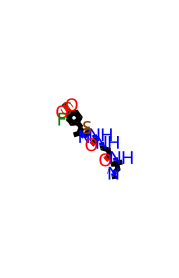 Cc1nc(NC(=O)NCCC(=O)NC(C)(C)CN(C)C)sc1-c1ccc(S(C)(=O)=O)c(F)c1